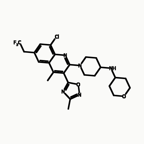 Cc1noc(-c2c(N3CCC(NC4CCOCC4)CC3)nc3c(Cl)cc(CC(F)(F)F)cc3c2C)n1